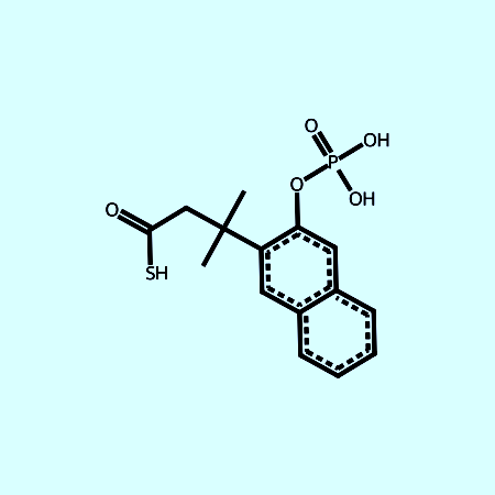 CC(C)(CC(=O)S)c1cc2ccccc2cc1OP(=O)(O)O